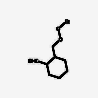 CCOOCC1CCCCC1C=O